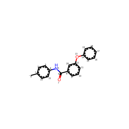 [CH2]c1ccc(NC(=O)c2cccc(Oc3ccccc3)c2)cc1